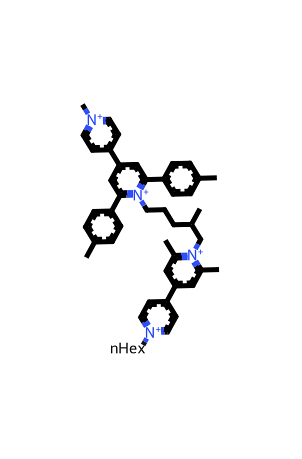 CCCCCC[n+]1ccc(-c2cc(C)[n+](CC(C)CCC[n+]3c(-c4ccc(C)cc4)cc(-c4cc[n+](C)cc4)cc3-c3ccc(C)cc3)c(C)c2)cc1